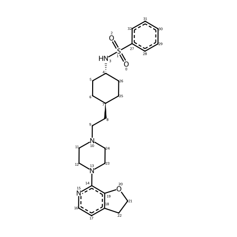 O=S(=O)(N[C@H]1CC[C@H](CCN2CCN(c3nccc4c3OCC4)CC2)CC1)c1ccccc1